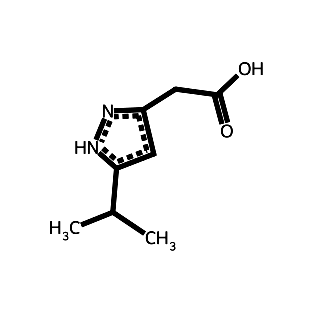 CC(C)c1cc(CC(=O)O)n[nH]1